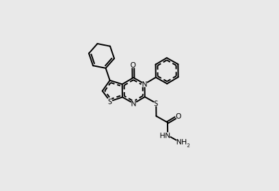 NNC(=O)CSc1nc2scc(C3=CCCC=C3)c2c(=O)n1-c1ccccc1